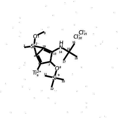 CO[Si]1(C)C2=[C]([Ti+2])C(O[Si](C)(C)C)C(NC(C)(C)C)=C21.[Cl-].[Cl-]